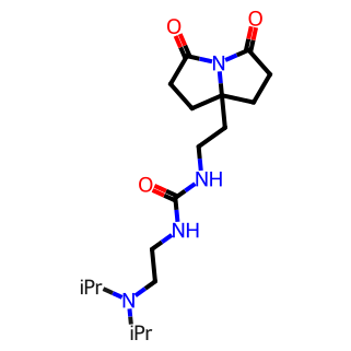 CC(C)N(CCNC(=O)NCCC12CCC(=O)N1C(=O)CC2)C(C)C